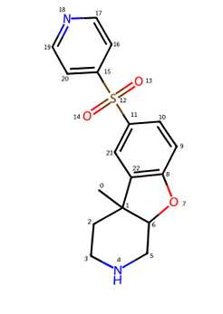 CC12CCNCC1Oc1ccc(S(=O)(=O)c3ccncc3)cc12